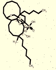 CCCCCCC1(C)CCCC2C3CCCCCCC4(CCCCC)CC(P(=O)(O)O)(CCC3)O[C@]24C[C@H](N)[C@@H]1O